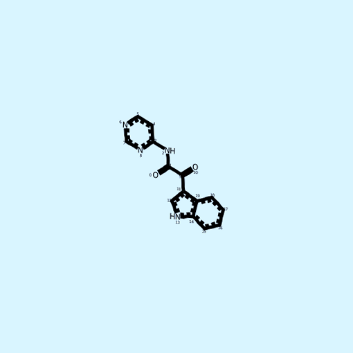 O=C(Nc1ccncn1)C(=O)c1c[nH]c2ccccc12